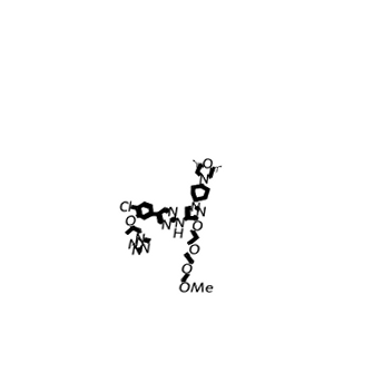 COCCOCCOCCCOc1nn(C2CCC(N3C[C@@H](C)O[C@@H](C)C3)CC2)cc1Nc1ncc(-c2ccc(Cl)c(OC(C)Cn3cnnn3)c2)cn1